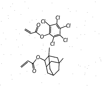 C=CC(=O)OC1C2CC3CC(C)(C2)CC1(C)C3.C=CC(=O)Oc1c(Cl)c(Cl)c(Cl)c(Cl)c1Cl